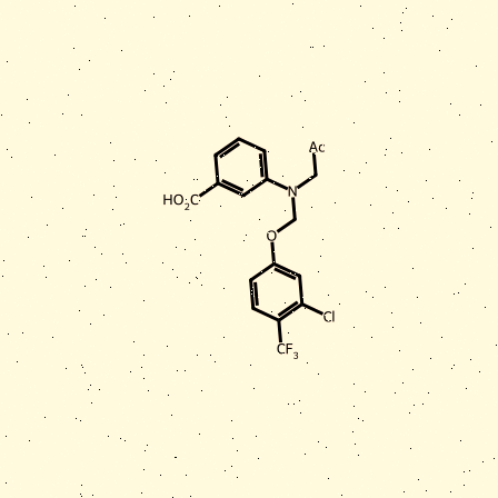 CC(=O)CN(COc1ccc(C(F)(F)F)c(Cl)c1)c1cccc(C(=O)O)c1